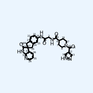 O=C(CNC(=O)C1CCN(C(=O)c2cn[nH]c2)CC1)Nc1ccc2c(c1)CC1(C2)C(=O)Nc2ncccc21